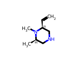 C=C[C@H]1CNC[C@@H](C)N1C